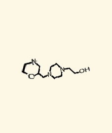 OCCN1CCN(CC2C[N]CCO2)CC1